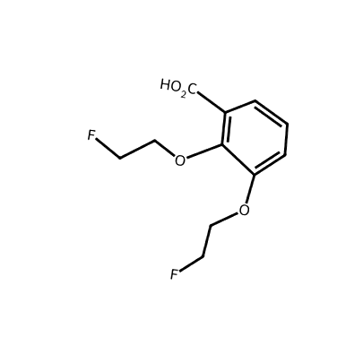 O=C(O)c1cccc(OCCF)c1OCCF